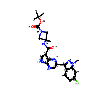 Cn1nc(-c2cnc3[nH]cc(C(=O)NC4(C)CN(C(=O)OC(C)(C)C)C4)c3n2)c2ccc(F)cc21